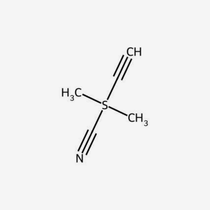 C#CS(C)(C)C#N